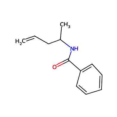 C=CCC(C)NC(=O)c1ccccc1